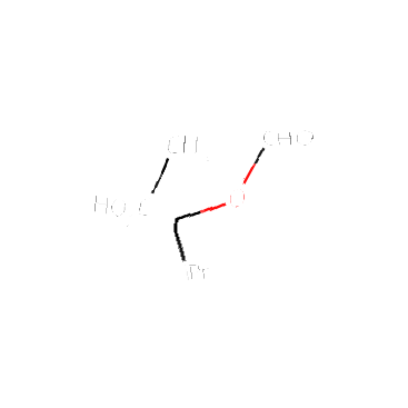 CC(=O)O.CC(C)COC=O